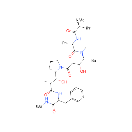 CC[C@H](C)[C@@H]([C@H](O)CC(=O)N1CCC[C@H]1[C@H](O)[C@@H](C)C(=O)NC(Cc1ccccc1)C(=O)NC(C)(C)C)N(C)C(=O)[C@@H](NC(=O)[C@@H](NC)C(C)C)C(C)C